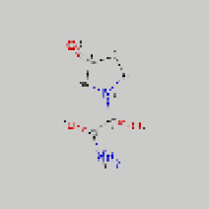 NC(=O)C(=O)N1CCC(=O)C1